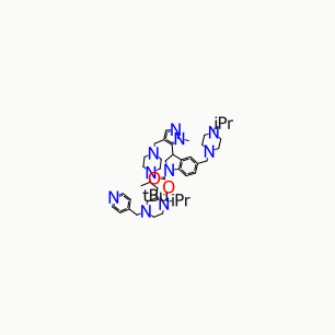 CC(C)N1CCN(Cc2ccc3c(c2)C(c2c(CN4CCN(C(C)CC5CN(Cc6ccncc6)CCN5C(C)C)CC4)cnn2C)CN3C(=O)OC(C)(C)C)CC1